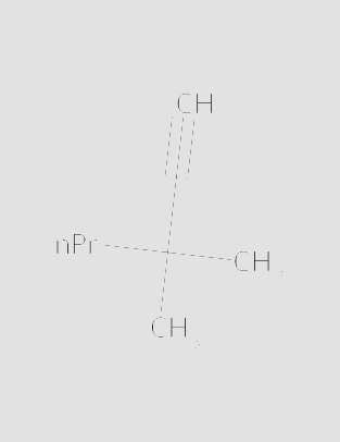 C#CC(C)(C)CCC